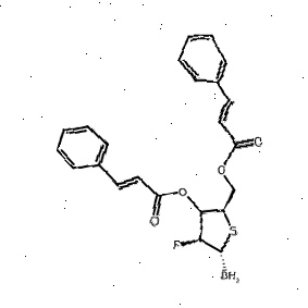 B[C@H]1S[C@H](COC(=O)/C=C/c2ccccc2)C(OC(=O)/C=C/c2ccccc2)[C@@H]1F